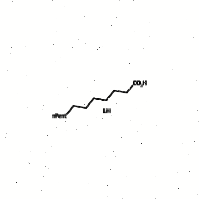 CCCCCCCCCCCC(=O)O.[LiH]